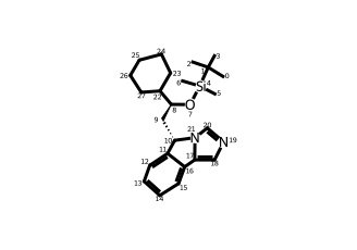 CC(C)(C)[Si](C)(C)O[C@@H](C[C@H]1c2ccccc2-c2cncn21)C1CCCCC1